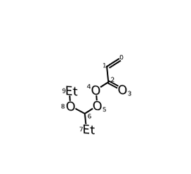 C=CC(=O)OOC(CC)OCC